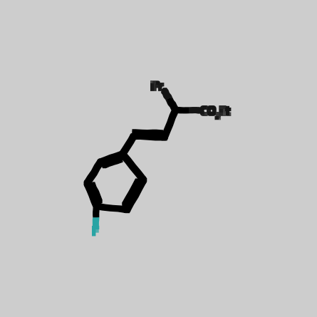 CCOC(=O)C(C=Cc1ccc(F)cc1)C(C)C